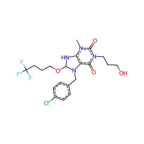 Cn1c2c(c(=O)n(CCCO)c1=O)N(Cc1ccc(Cl)cc1)C(OCCCC(F)(F)F)N2